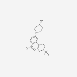 COC1CCN(c2ccc([N+](=O)[O-])c(C3=CCC(C(C)(C)I)CC3)c2)CC1